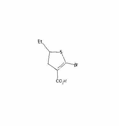 CCC1CC(C(=O)O)=C(Br)S1